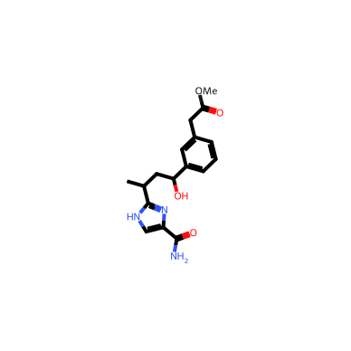 COC(=O)Cc1cccc(C(O)CC(C)c2nc(C(N)=O)c[nH]2)c1